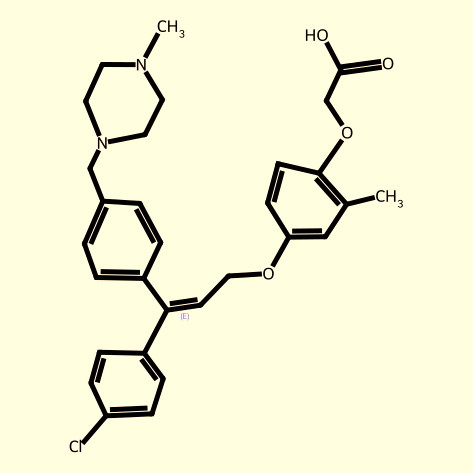 Cc1cc(OC/C=C(/c2ccc(Cl)cc2)c2ccc(CN3CCN(C)CC3)cc2)ccc1OCC(=O)O